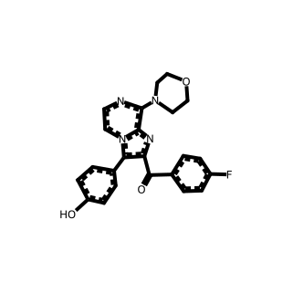 O=C(c1ccc(F)cc1)c1nc2c(N3CCOCC3)nccn2c1-c1ccc(O)cc1